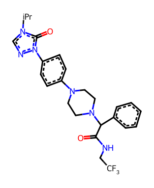 CC(C)n1cnn(-c2ccc(N3CCN(C(C(=O)NCC(F)(F)F)c4ccccc4)CC3)cc2)c1=O